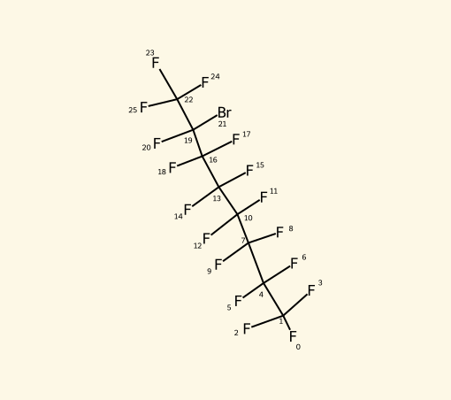 FC(F)(F)C(F)(F)C(F)(F)C(F)(F)C(F)(F)C(F)(F)C(F)(Br)C(F)(F)F